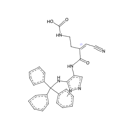 Cn1ncc(NC(=O)/C(=C\C#N)CCNC(=O)O)c1NC(c1ccccc1)(c1ccccc1)c1ccccc1